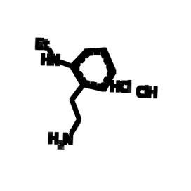 CCNc1ccccc1CCN.Cl.Cl